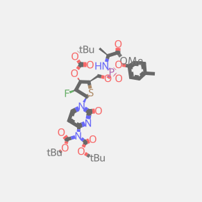 COC(=O)[C@H](C)NP(=O)(OC[C@H]1S[C@@H](n2ccc(N(C(=O)OC(C)(C)C)C(=O)OC(C)(C)C)nc2=O)[C@@H](F)[C@@H]1OC(=O)OC(C)(C)C)Oc1ccc(C)cc1